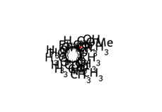 CC[C@@H]1CC(=O)[C@@H](C)[C@@H](O[C@H]2C[C@@](C)(OC)[C@@H](O)[C@H](C)O2)[C@H](C)[C@@H](O[C@H]2C[C@@H](N(C)C)C[C@@H](C)O2)C(C)(O)C[C@@H](C)C(=O)[C@H](C)[C@@H](O)[C@@]1(C)O